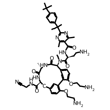 Cc1nc(C(C)(C)c2ccc(C(C)(C)C)cc2)nc(C)c1C(=O)N[C@@H](CCN)C(=O)N(C)[C@@H]1C(=O)N[C@@H](C)C(=O)N[C@H](C(=O)NCC#N)Cc2ccc(OCCN)c(c2)-c2cc1ccc2OCCN